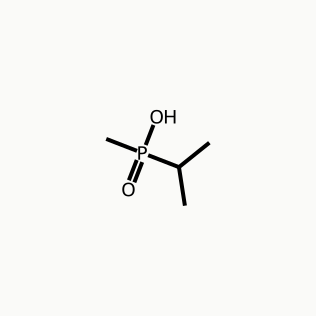 CC(C)P(C)(=O)O